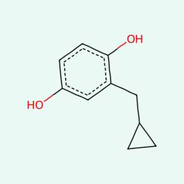 Oc1ccc(O)c(CC2CC2)c1